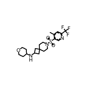 Cc1cc(C(F)(F)F)ncc1S(=O)(=O)N1CCC2(CC1)CC(NC1CCOCC1)C2